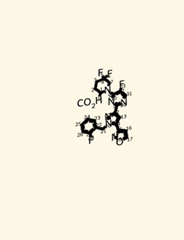 O=C(O)C1CCC(F)(F)CN1c1nc(-c2cc(-c3ccon3)n(Cc3ccccc3F)n2)ncc1F